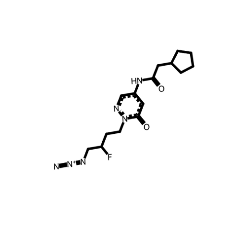 [N-]=[N+]=NCC(F)CCn1ncc(NC(=O)CC2CCCC2)cc1=O